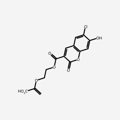 C=C(OCCOC(=O)c1cc2cc(Cl)c(O)cc2oc1=O)C(=O)O